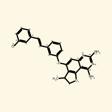 CC1COc2c1c(Oc1cccc(C=Cc3cccc(Cl)c3)c1)cc1nc(N)nc(N)c21